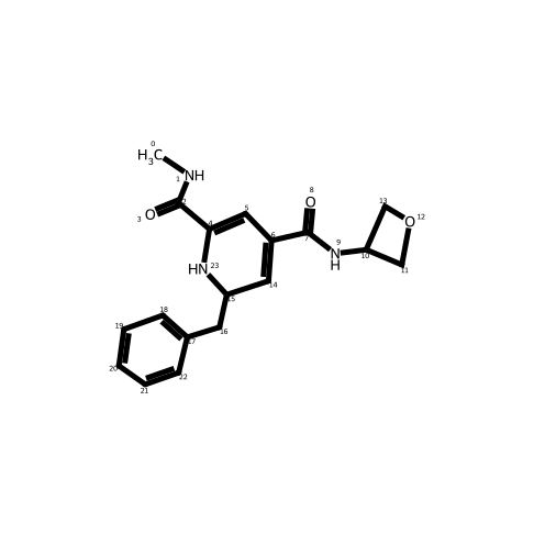 CNC(=O)C1=CC(C(=O)NC2COC2)=CC(Cc2ccccc2)N1